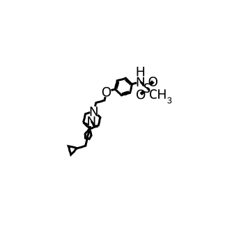 CS(=O)(=O)Nc1ccc(OCCN2CC3CN(CC4CC4)CC(C2)C32CCCC2)cc1